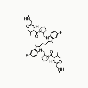 CNCC(=O)NC(C(=O)N1CCCC1Cn1c(CCc2nc3cc(F)ccc3n2CC2CCCN2C(=O)C(NC(=O)CNC)C(C)C)nc2cc(F)ccc21)C(C)C